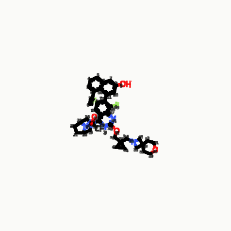 C#Cc1cccc2cc(O)cc(-c3c(F)cc4c(N5CC6CCC(C5)N6C(=O)C(F)(F)F)nc(OCC5(CN6CC7(CCOCC7)C6)CC5)nc4c3F)c12